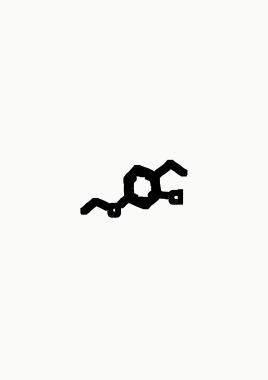 CCOc1ccc(CC)c(Cl)c1